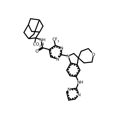 O=C(NC1(C(=O)O)C2CC3CC(C2)CC1C3)c1cnc(N2CC3(CCOCC3)c3cc(Nc4ncccn4)ccc32)nc1C(F)(F)F